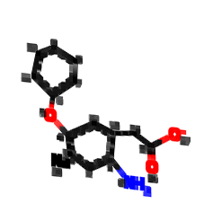 Nc1ccc(Oc2ccccc2)cc1CC(=O)[O-].[Na+]